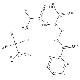 CC(N)C(=O)NC(CSC(=O)c1ccccc1)C(=O)O.O=C(O)C(F)(F)F